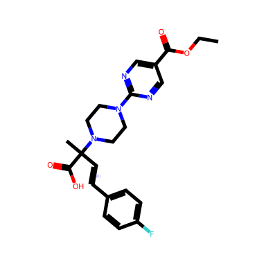 CCOC(=O)c1cnc(N2CCN(C(C)(/C=C/c3ccc(F)cc3)C(=O)O)CC2)nc1